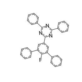 Fc1c(-c2ccccc2)cc(-c2nc(-c3ccccc3)nc(-c3ccccc3)n2)cc1-c1ccccc1